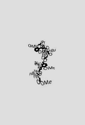 CCCC[C@H](NC(=O)c1cc(-c2c(OC)ccc(COC(=O)CNC(=O)[C@H](CCCC)NC(=O)c3cc(-c4c(OC)cccc4OC)n(C(C)C(C)C)n3)c2OC)n(CC(C)C)n1)C(=O)NCC(=O)OC